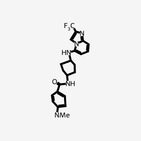 CNc1ccc(C(=O)NC2CCC(Nc3cccc4nc(C(F)(F)F)cn34)CC2)cc1